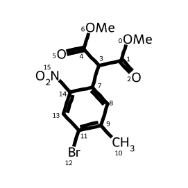 COC(=O)C(C(=O)OC)c1cc(C)c(Br)cc1[N+](=O)[O-]